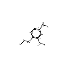 CCOc1ccc(NC)cc1OC